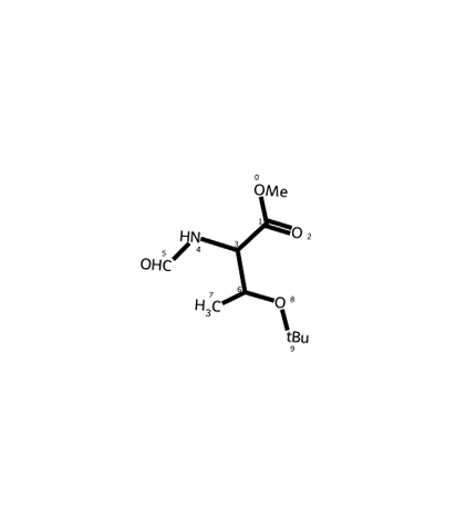 COC(=O)C(NC=O)C(C)OC(C)(C)C